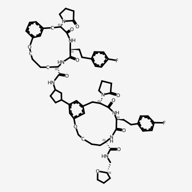 O=C(NC[C@@H]1CCCO1)[C@@H]1CCCCOc2cc(cc(C3CCC(NC(=O)[C@@H]4CCCCOc5cccc(c5)C[C@H](N5CCCC5=O)C(=O)N[C@@H](CCc5ccc(F)cc5)C(=O)N4)C3)c2)C[C@H](N2CCCC2=O)C(=O)N[C@@H](CCc2ccc(F)cc2)C(=O)N1